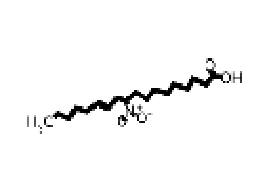 CCCCCC=CCC(CCCCCCCCC(=O)O)[N+](=O)[O-]